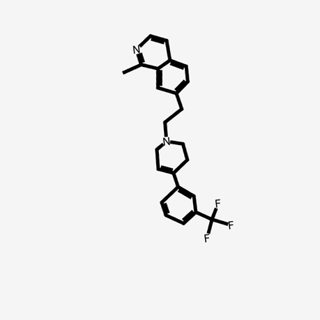 Cc1nccc2ccc(CCN3CC=C(c4cccc(C(F)(F)F)c4)CC3)cc12